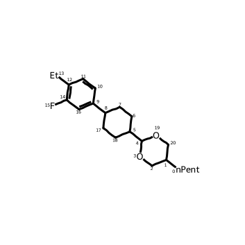 CCCCCC1COC(C2CCC(c3ccc(CC)c(F)c3)CC2)OC1